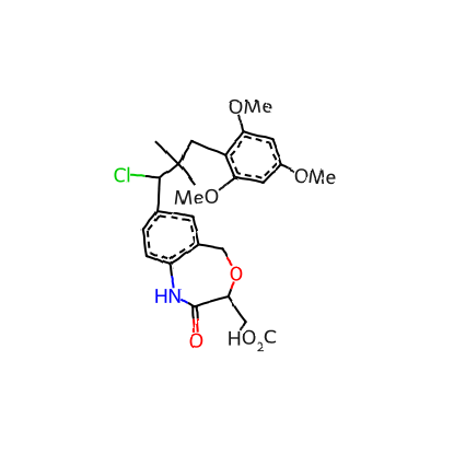 COc1cc(OC)c(CC(C)(C)C(Cl)c2ccc3c(c2)COC(CC(=O)O)C(=O)N3)c(OC)c1